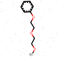 [CH2]COCCOCCOc1ccccc1